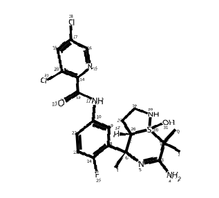 CC1(C)C(N)=N[C@](C)(c2cc(NC(=O)c3ncc(Cl)cc3Cl)ccc2F)[C@@H]2CCNS21O